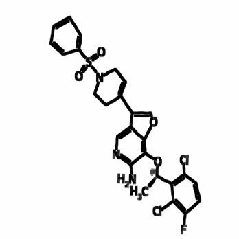 C[C@@H](Oc1c(N)ncc2c(C3=CCN(S(=O)(=O)c4ccccc4)CC3)coc12)c1c(Cl)ccc(F)c1Cl